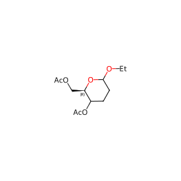 CCOC1CCC(OC(C)=O)[C@@H](COC(C)=O)O1